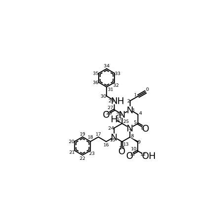 C#CCN1CC(=O)N2[C@@H](CC(=O)O)C(=O)N(CCc3ccccc3)C[C@@H]2N1C(=O)NCc1ccccc1